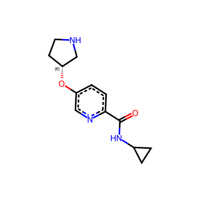 O=C(NC1CC1)c1ccc(O[C@@H]2CCNC2)cn1